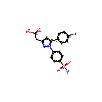 NS(=O)(=O)c1ccc(-n2nc(CC(=O)O)cc2-c2ccc(Cl)cc2)cc1